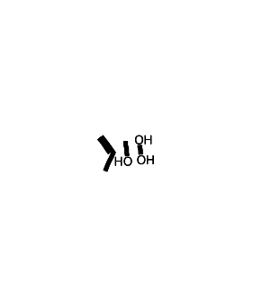 C=CC.CO.OO